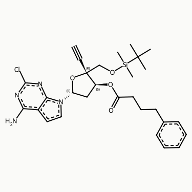 C#C[C@]1(CO[Si](C)(C)C(C)(C)C)O[C@@H](n2ccc3c(N)nc(Cl)nc32)C[C@@H]1OC(=O)CCCc1ccccc1